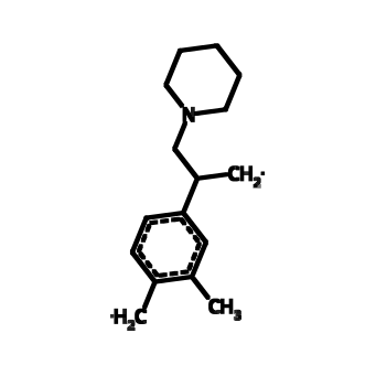 [CH2]c1ccc(C([CH2])CN2CCCCC2)cc1C